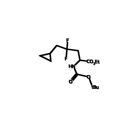 CCOC(=O)C(CC(F)(F)CC1CC1)NC(=O)OC(C)(C)C